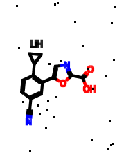 N#Cc1ccc(C2CC2)c(-c2cnc(C(=O)O)o2)c1.[LiH]